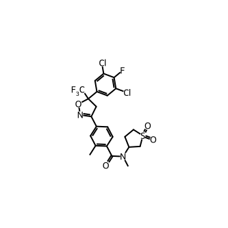 Cc1cc(C2=NOC(c3cc(Cl)c(F)c(Cl)c3)(C(F)(F)F)C2)ccc1C(=O)N(C)C1CCS(=O)(=O)C1